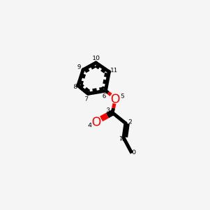 C[C]=CC(=O)Oc1ccccc1